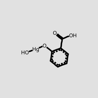 O=C(O)c1ccccc1[O][Hg][OH]